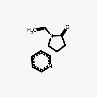 C=CN1CCCC1=O.c1ccncc1